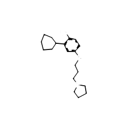 Nc1ccc(NCCCN2CCCC2)cc1C1CCCCC1